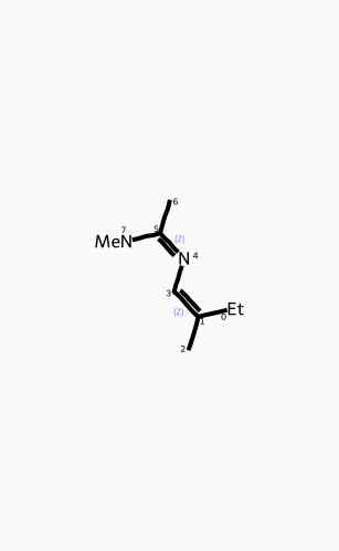 CC/C(C)=C\N=C(\C)NC